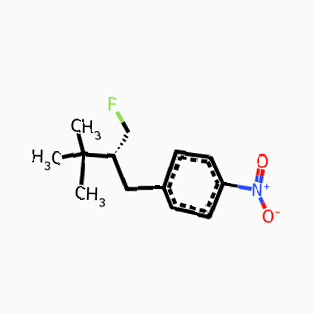 CC(C)(C)[C@H](CF)Cc1ccc([N+](=O)[O-])cc1